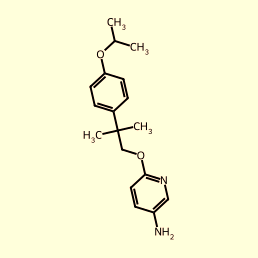 CC(C)Oc1ccc(C(C)(C)COc2ccc(N)cn2)cc1